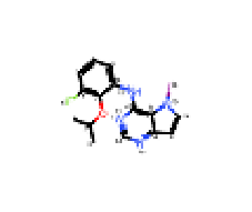 CC(C)Oc1c(F)cccc1Nc1ncnc2ccn(I)c12